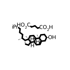 CC(C)CCC[C@@H](C)[C@H]1CC[C@H]2[C@@H]3CC=C4C[C@@H](O)CC[C@]4(C)[C@H]3CC[C@]12C.O=C(O)CCCC(=O)O